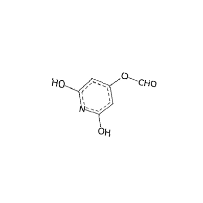 O=COc1cc(O)nc(O)c1